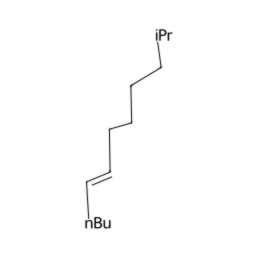 CCCCC=CCCCCC(C)C